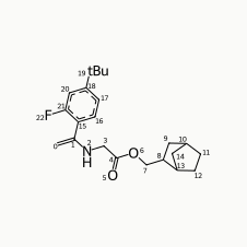 C=C(NCC(=O)OCC1CC2CCC1C2)c1ccc(C(C)(C)C)cc1F